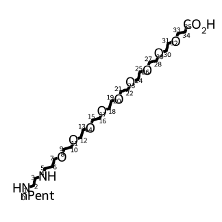 CCCCCNCCNCCCOCCOCCOCCOCCOCCOCCOCCOCCOCCC(=O)O